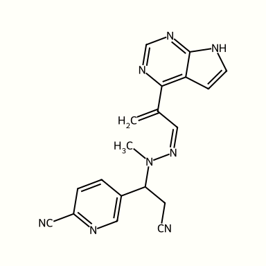 C=C(/C=N\N(C)C(CC#N)c1ccc(C#N)nc1)c1ncnc2[nH]ccc12